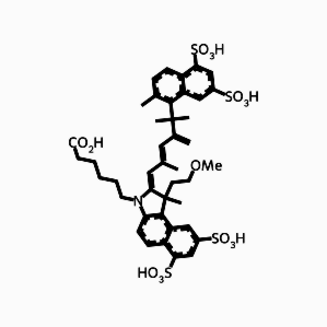 C=C(/C=C(C)/C=C1/N(CCCCCC(=O)O)c2ccc3c(S(=O)(=O)O)cc(S(=O)(=O)O)cc3c2C1(C)CCOC)C(C)(C)c1c(C)ccc2c(S(=O)(=O)O)cc(S(=O)(=O)O)cc12